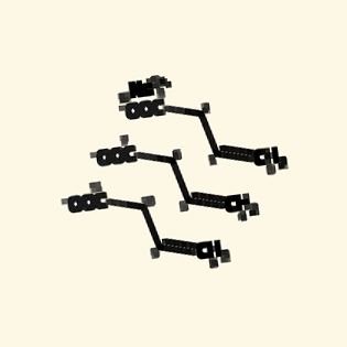 C=CCC(=O)[O-].C=CCC(=O)[O-].C=CCC(=O)[O-].[Nd+3]